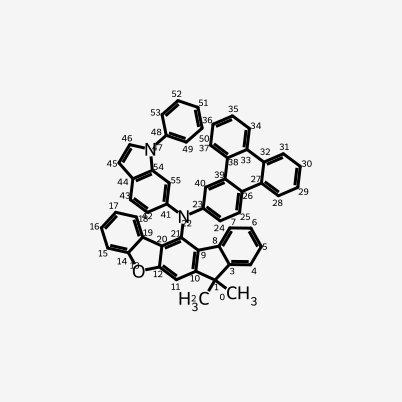 CC1(C)c2ccccc2-c2c1cc1oc3ccccc3c1c2N(c1ccc2c3ccccc3c3ccccc3c2c1)c1ccc2ccn(-c3ccccc3)c2c1